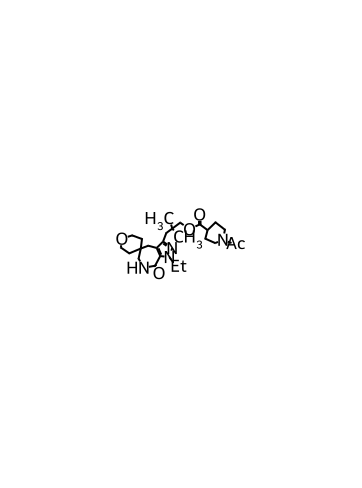 CCn1nc(CC(C)(C)COC(=O)C2CCN(C(C)=O)CC2)c2c1C(=O)NCC1(CCOCC1)C2